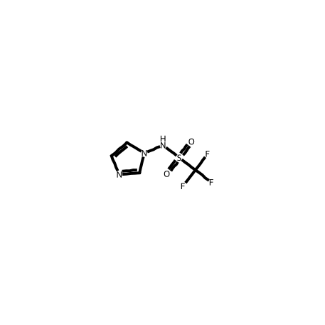 O=S(=O)(Nn1ccnc1)C(F)(F)F